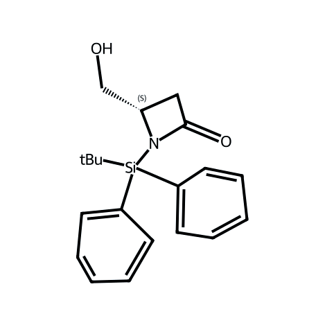 CC(C)(C)[Si](c1ccccc1)(c1ccccc1)N1C(=O)C[C@H]1CO